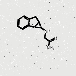 NC(=O)CNC1C2Cc3ccccc3C21